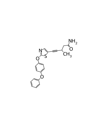 CC(C#Cc1cnc(Oc2ccc(Oc3ccccc3)cc2)s1)CC(N)=O